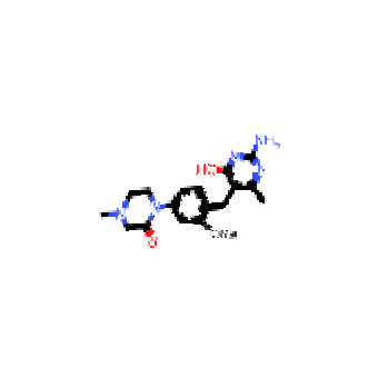 COc1cc(N2CCN(C)CC2=O)ccc1Cc1c(C)nc(N)nc1O